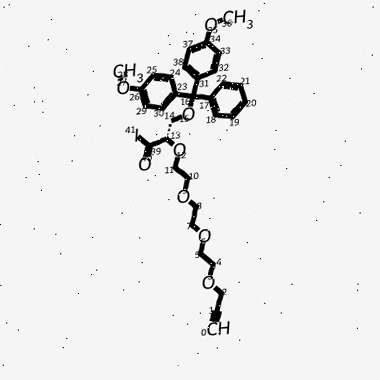 C#CCOCCOCCOCCO[C@@H](COC(c1ccccc1)(c1ccc(OC)cc1)c1ccc(OC)cc1)C(=O)I